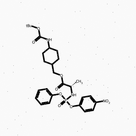 C[C@H](NP(=O)(Oc1ccccc1)Oc1ccc([N+](=O)[O-])cc1)C(=O)OCC1CCC(NC(=O)OC(C)(C)C)CC1